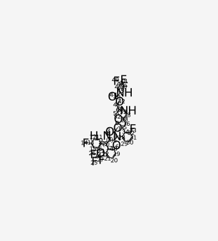 COC(=O)N(C(=O)[C@@H](N)[C@@H](c1ccc(F)cc1)c1ccccc1OC(F)(F)F)c1cccc(F)c1CC[C@@H]1CN[C@H](COC(=O)NCC(F)(F)F)CO1